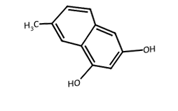 Cc1ccc2cc(O)cc(O)c2c1